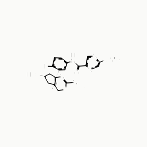 COc1cnc(C(=O)Nc2ccc(F)c([C@]34C[C@H](C)C[C@H]3CSC(N)=N4)c2)cn1